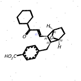 O=C(O)c1ccc(C[C@H]2[C@@H](/C=C/C(=O)C3CCCCC3)[C@H]3CC[C@@H]2O3)cc1